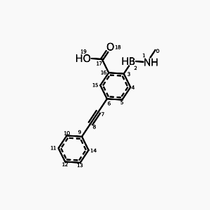 CNBc1ccc(C#Cc2ccccc2)cc1C(=O)O